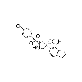 O=C(O)C(CO)(CNS(=O)(=O)c1ccc(Cl)cc1)c1ccc2c(c1)CCC2